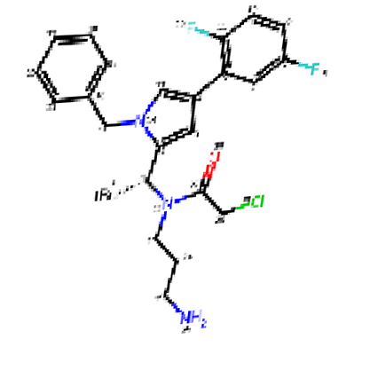 CC(C)(C)[C@H](c1cc(-c2cc(F)ccc2F)cn1Cc1ccccc1)N(CCCN)C(=O)CCl